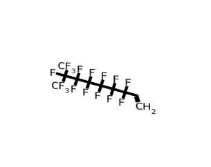 C=CC(F)(F)C(F)(F)C(F)(F)C(F)(F)C(F)(F)C(F)(C(F)(F)F)C(F)(F)F